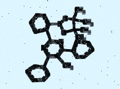 Cc1c(-c2ccccc2)nc(-c2ccccc2B2OC(C)(C)C(C)(C)O2)nc1-c1ccccc1